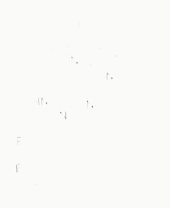 Cc1nc(NC(C)c2cccc(C(F)F)c2F)c2cn(C3(CF)CC3)c(=O)c(NC(=O)C3COC3)c2n1